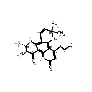 CCCc1cc(=O)oc2c3c(c4c(c12)OC(C)(C)C=C4)O[C@@H](C)[C@H](C)C3=O